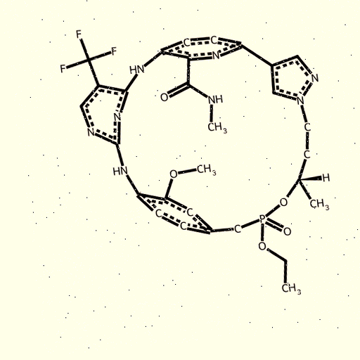 CCOP1(=O)Cc2ccc(c(OC)c2)Nc2ncc(C(F)(F)F)c(n2)Nc2ccc(nc2C(=O)NC)-c2cnn(c2)CC[C@H](C)O1